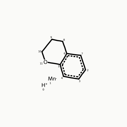 [H+].[Mn].c1ccc2c(c1)CCCO2